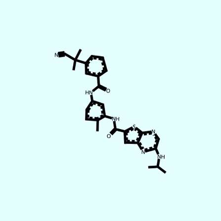 Cc1ccc(NC(=O)c2cccc(C(C)(C)C#N)c2)cc1NC(=O)c1cc2nc(NC(C)C)cnc2s1